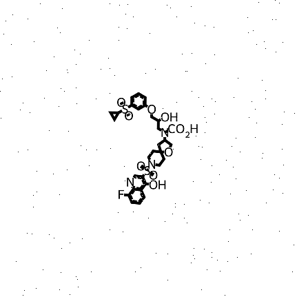 O=C(O)N(CC(O)COc1cccc(S(=O)(=O)C2CC2)c1)C1COC2(CCN(S(=O)(=O)c3cnc4c(F)cccc4c3O)CC2)C1